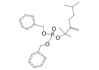 C=C(CCC(C)C)C(C)(C)OP(=O)(OCc1ccccc1)OCc1ccccc1